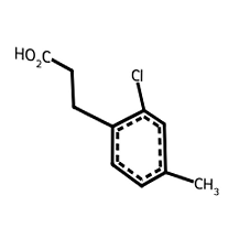 Cc1ccc(CCC(=O)O)c(Cl)c1